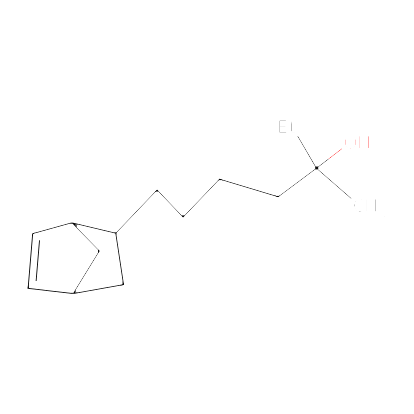 CCC(C)(O)CCCCC1CC2C=CC1C2